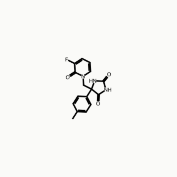 Cc1ccc(C2(Cn3cccc(F)c3=O)NC(=O)NC2=O)cc1